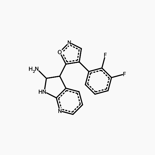 NC1Nc2ncccc2C1c1oncc1-c1cccc(F)c1F